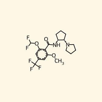 COc1cc(C(F)(F)F)cc(OC(F)F)c1C(=O)N[C@H]1CCC[C@H]1N1CCCC1